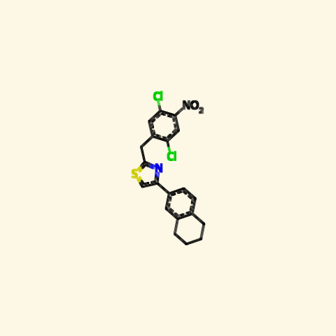 O=[N+]([O-])c1cc(Cl)c(Cc2nc(-c3ccc4c(c3)CCCC4)cs2)cc1Cl